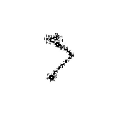 O=C(CCOCCOCCOCCOCCn1cc(CCCCNC(=S)Nc2ccc(O[C@H]3OC(CC(C(=O)O)C(=O)O)[C@@H](O)[C@H](O)[C@@H]3O)cc2)nn1)Oc1c(F)c(F)c(F)c(F)c1F